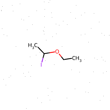 CCOC(C)I